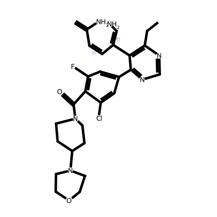 C=C(N)/C=C\C(=C/N)c1c(CC)ncnc1-c1cc(F)c(C(=O)N2CCC(N3CCOCC3)CC2)c(Cl)c1